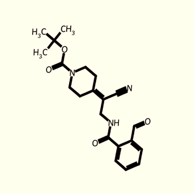 CC(C)(C)OC(=O)N1CCC(=C(C#N)CNC(=O)c2ccccc2C=O)CC1